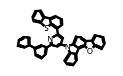 c1ccc(-c2cccc(-c3cc(-n4c5ccccc5c5c6oc7ccccc7c6ccc54)cc(-c4cccc5c4sc4ccccc45)n3)c2)cc1